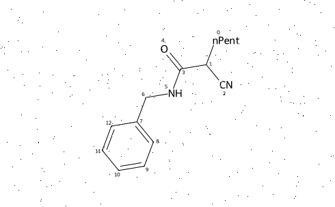 CCCCCC(C#N)C(=O)NCc1ccccc1